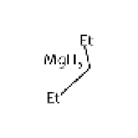 [CH2]CCCC.[MgH2]